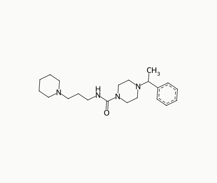 CC(c1ccccc1)N1CCN(C(=O)NCCCN2CCCCC2)CC1